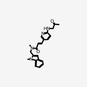 CC(=O)CNc1ccc(C=CC(=O)N(C)Cc2cc3ccccc3n2C)cn1